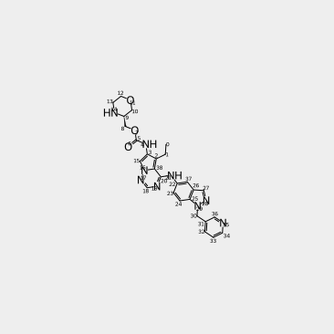 CCc1c(NC(=O)OC[C@@H]2COCCN2)cn2ncnc(Nc3ccc4c(cnn4Cc4cccnc4)c3)c12